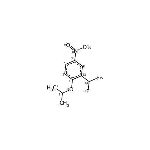 CC(C)Oc1ccc([N+](=O)[O-])cc1C(F)F